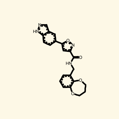 O=C(NCc1cccc2c1OCCCO2)c1cc(-c2ccc3[nH]ncc3c2)on1